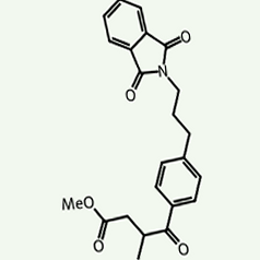 COC(=O)CC(C)C(=O)c1ccc(CCCN2C(=O)c3ccccc3C2=O)cc1